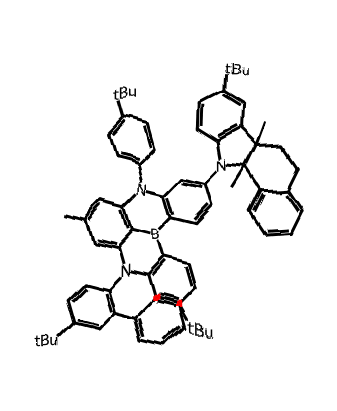 Cc1cc2c3c(c1)N(c1ccc(C(C)(C)C)cc1-c1ccccc1)c1cc(C(C)(C)C)ccc1B3c1ccc(N3c4ccc(C(C)(C)C)cc4C4(C)CCc5ccccc5C34C)cc1N2c1ccc(C(C)(C)C)cc1